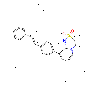 O=S1(=O)CCN2C=CC=C(c3ccc(C=Cc4ccccc4)cc3)C2=N1